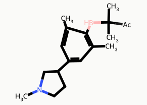 CC(=O)C(C)(C)Bc1c(C)cc(C2CCN(C)C2)cc1C